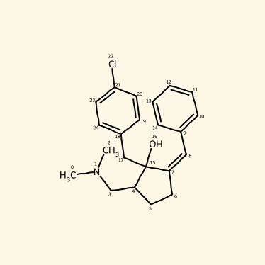 CN(C)CC1CCC(=Cc2ccccc2)C1(O)Cc1ccc(Cl)cc1